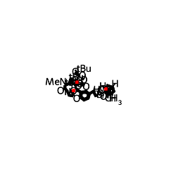 CNC(C(=O)N1CC(Oc2ccc(CCB3O[C@@H]4C[C@@H]5C[C@@H](C5(C)C)[C@]4(C)O3)c(OC(=O)OC(C)(C)C)c2C(=O)OC(C)(C)C)C1)c1cn(C(=O)OC(C)(C)C)cn1